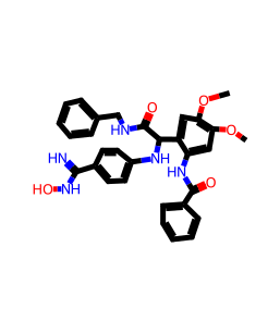 COc1cc(NC(=O)c2ccccc2)c(C(Nc2ccc(C(=N)NO)cc2)C(=O)NCc2ccccc2)cc1OC